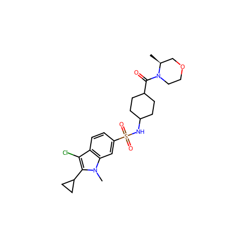 C[C@H]1COCCN1C(=O)C1CCC(NS(=O)(=O)c2ccc3c(Cl)c(C4CC4)n(C)c3c2)CC1